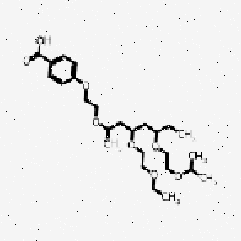 CCOCCOC(CC(C)OCCOc1ccc(C(=O)O)cc1)CC(CC)OCCOC(C)C